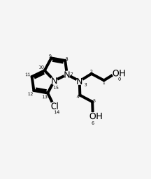 OCCN(CCO)n1ccc2ccc(Cl)n21